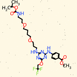 C=C(C)OC(=O)NCCCOCCCCOCCCNc1nc(Nc2ccc(C(=O)OC)cc2)nc(OCC(F)(F)F)n1